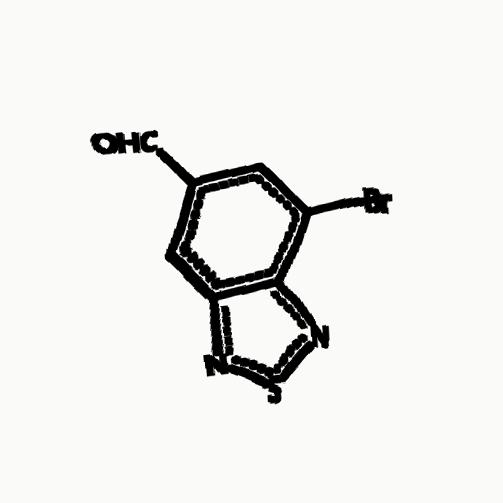 O=Cc1cc(Br)c2nsnc2c1